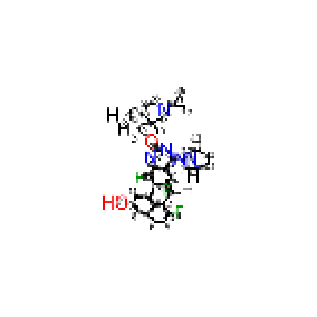 C#Cc1c(F)ccc2cc(O)cc(-c3c(F)cc4c(N5C[C@H]6CC[C@@H](C5)N6)nc(OC[C@]5(C)CN(C6CC6)CC[C@@H]5C)nc4c3F)c12